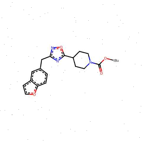 CC(C)(C)OC(=O)N1CCC(c2nc(Cc3ccc4occc4c3)no2)CC1